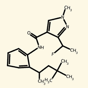 CC(F)c1nn(C)cc1C(=O)Nc1ccccc1C(C)CC(C)(C)C